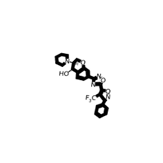 O[C@H]1c2ccc(-c3noc(-c4onc(-c5ccccc5)c4C(F)(F)F)n3)cc2OC[C@H]1N1CCCCC1